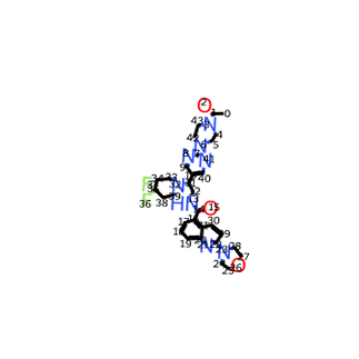 CC(=O)N1CCN(c2ncc(C(CNC(=O)c3cccc4nc(N5CCOCC5)ccc34)N3CCC(F)(F)CC3)cn2)CC1